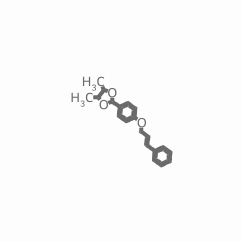 CC1OC(c2ccc(OC/C=C/c3ccccc3)cc2)OC1C